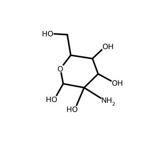 NC1(O)C(O)OC(CO)C(O)C1O